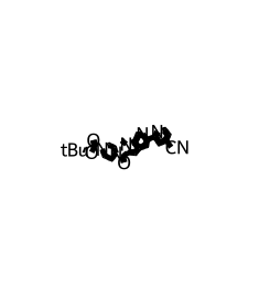 Cn1c(C(=O)N2CCN(C(=O)OC(C)(C)C)CC2)cc2cc(-c3cc(C#N)ccn3)ncc21